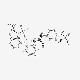 CON1Cc2cccc(Oc3ncccc3NC(=O)Nc3ccc(OC(F)(F)F)cc3)c2C1C(C)(C)C